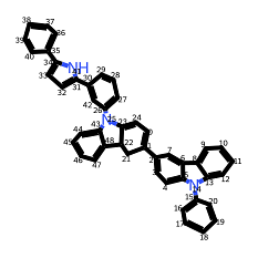 C1=C(c2ccc3c(c2)c2ccccc2n3-c2ccccc2)CC2C(=C1)N(c1cccc(-c3ccc(-c4ccccc4)[nH]3)c1)c1ccccc12